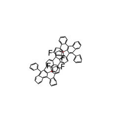 Fc1cc(F)cc(-c2ccccc2-c2c3c(c(-c4ccccc4)c4ccccc24)-c2ccc4c5ccc6c7c(ccc(c8ccc-3c2c48)c75)-c2c-6c(-c3ccccc3-c3cc(F)cc(F)c3)c3ccccc3c2-c2ccccc2)c1